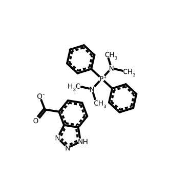 CN(C)[P+](c1ccccc1)(c1ccccc1)N(C)C.O=C([O-])c1cccc2[nH]nnc12